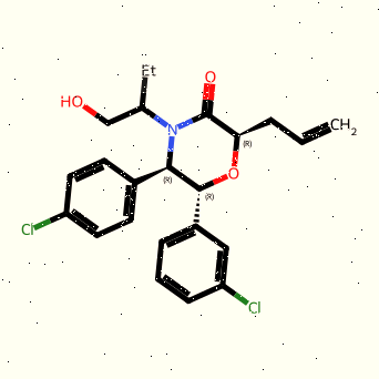 C=CC[C@H]1O[C@H](c2cccc(Cl)c2)[C@@H](c2ccc(Cl)cc2)N(C(CC)CO)C1=O